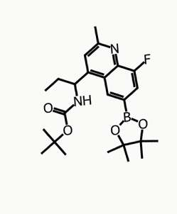 CCC(NC(=O)OC(C)(C)C)c1cc(C)nc2c(F)cc(B3OC(C)(C)C(C)(C)O3)cc12